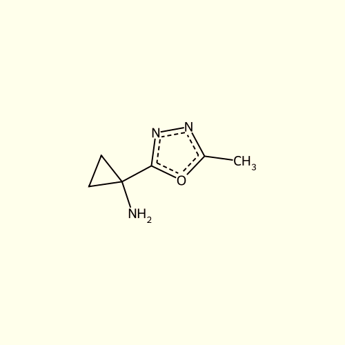 Cc1nnc(C2(N)CC2)o1